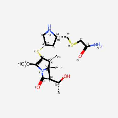 C[C@@H](O)[C@H]1C(=O)N2C(C(=O)O)=C(S[C@@H]3CN[C@H](CSCC(N)=O)C3)[C@H](C)[C@H]12